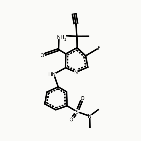 C#CC(C)(C)c1c(F)cnc(Nc2cccc(S(=O)(=O)N(C)C)c2)c1C(N)=O